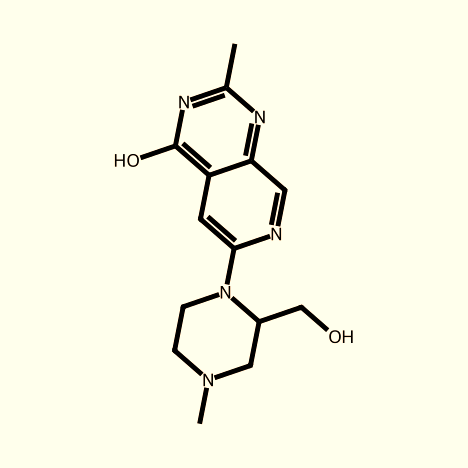 Cc1nc(O)c2cc(N3CCN(C)CC3CO)ncc2n1